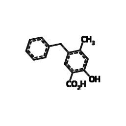 Cc1cc(O)c(C(=O)O)cc1Cc1ccccc1